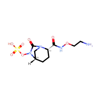 NCCONC(=O)[C@@H]1CC[C@H]2CN1C(=O)N2OS(=O)(=O)O